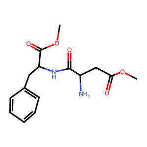 COC(=O)CC(N)C(=O)NC(Cc1ccccc1)C(=O)OC